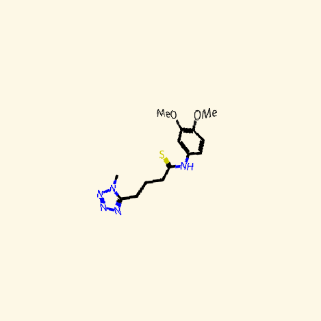 COc1ccc(NC(=S)CCCc2nnnn2C)cc1OC